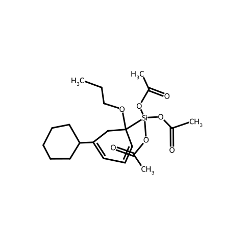 CCCOC1([Si](OC(C)=O)(OC(C)=O)OC(C)=O)C=CC=C(C2CCCCC2)C1